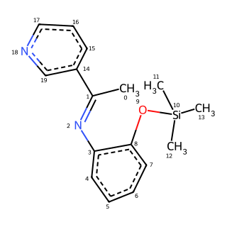 CC(=Nc1ccccc1O[Si](C)(C)C)c1cccnc1